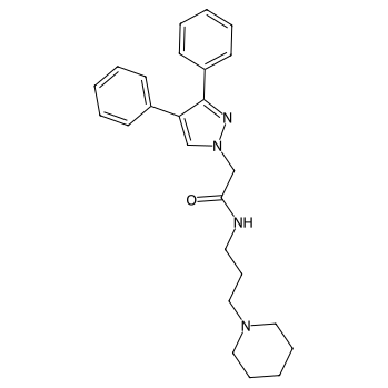 O=C(Cn1cc(-c2ccccc2)c(-c2ccccc2)n1)NCCCN1CCCCC1